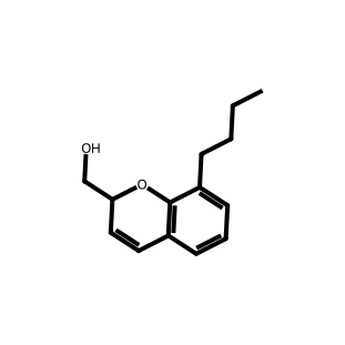 CCCCc1cccc2c1OC(CO)C=C2